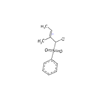 C/C=C(\C)C(Cl)S(=O)(=O)c1ccccc1